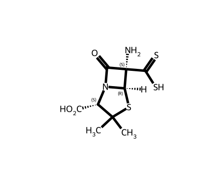 CC1(C)S[C@H]2N(C(=O)[C@@]2(N)C(=S)S)[C@H]1C(=O)O